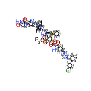 CC1(C)CCC(c2ccc(Cl)cc2)=C(CN2CCN(c3ccc(C(=O)NS(=O)(=O)c4ccc(N[C@H](CCN5C[C@H]6C[C@@H]5CN6Cc5ccc(N6CCC(=O)NC6=O)cn5)CSc5ccccc5)c(S(=O)(=O)C(F)(F)F)c4)cc3)CC2)C1